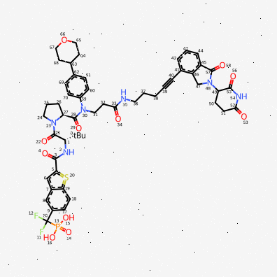 CC(C)(C)[C@H](NC(=O)c1cc2cc(C(F)(F)P(=O)(O)O)ccc2s1)C(=O)N1CCC[C@H]1C(=O)N(CCC(=O)NCCCC#Cc1cccc2c1CN(C1CCC(=O)NC1=O)C2=O)c1ccc(C2CCOCC2)cc1